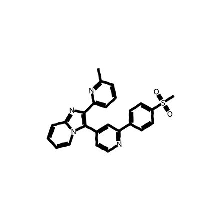 Cc1cccc(-c2nc3ccccn3c2-c2ccnc(-c3ccc(S(C)(=O)=O)cc3)c2)n1